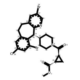 COC(=O)[C@H]1C[C@@H]1C(=O)N1CCC([C@H]2c3ncc(Br)cc3CCc3cc(Cl)cc(Br)c32)CC1